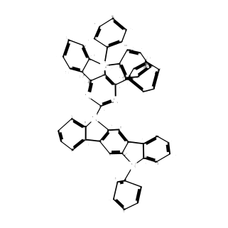 c1ccc(-c2nc(-n3c4ccccc4c4cc5c(cc43)c3ccccc3n5-c3ccccc3)nc3c2[Si](c2ccccc2)(c2ccccc2)c2ccccc2-3)cc1